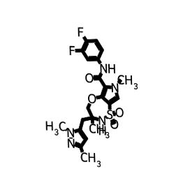 Cc1cc(CC2(C)COc3c(cn(C)c3C(=O)Nc3ccc(F)c(F)c3)S(=O)(=O)N2)n(C)n1